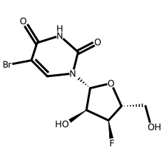 O=c1[nH]c(=O)n([C@@H]2O[C@H](CO)[C@@H](F)[C@H]2O)cc1Br